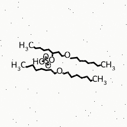 CCCCCCCCOCCC(CCCCC)OS(=O)(=O)O.CCCCCCCCOCCCCCCCC